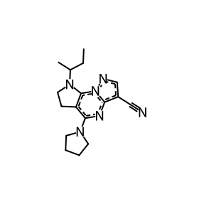 CCC(C)N1CCc2c(N3CCCC3)nc3c(C#N)cnn3c21